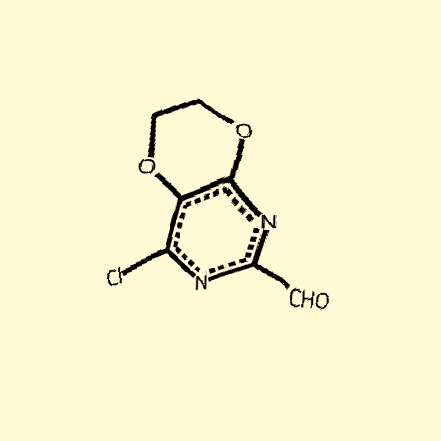 O=Cc1nc(Cl)c2c(n1)OCCO2